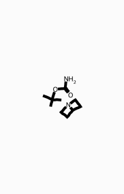 C1CN2CCC12.CC(C)(C)OC(N)=O